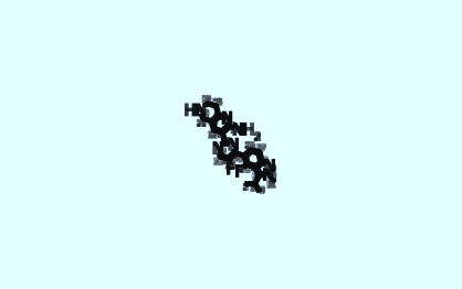 CC(C)c1c2c(F)c(-c3nc(-c4cc5c(nc4N)CCNC5)ncc3F)ccc2nn1C